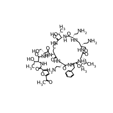 CC(=O)c1ccc(C(=O)N[C@H](C(=O)N[C@H](CO)C(=O)N[C@H]2CCNC(=O)[C@H]([C@@H](C)O)NC(=O)[C@H](CCN)NC[C@](C=O)(CCN)NC(=O)[C@H](CC(C)C)NC(=O)[C@@H](Cc3ccccc3)NC(=O)[C@H](CCN)NC2=O)[C@@H](C)O)o1